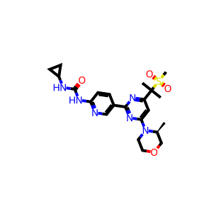 C[C@H]1COCCN1c1cc(C(C)(C)S(C)(=O)=O)nc(-c2ccc(NC(=O)NC3CC3)nc2)n1